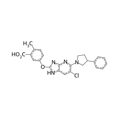 Cc1ccc(Oc2nc3nc(N4CCC(c5ccccc5)C4)c(Cl)cc3[nH]2)cc1C(=O)O